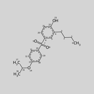 CCCCc1cc(S(=O)(=O)c2ccc(OC(C)C)cc2)ccc1O